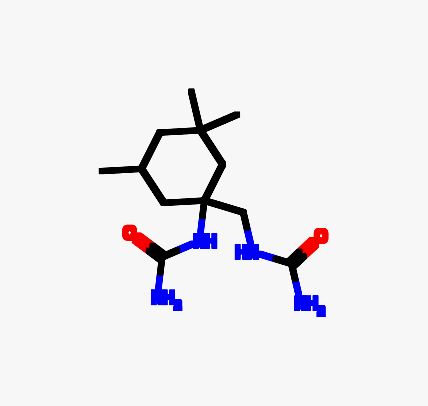 CC1CC(C)(C)CC(CNC(N)=O)(NC(N)=O)C1